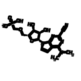 CN(C)c1nc(C#N)nc2c1ccn2[C@@H]1O[C@H](COCP(=O)(O)O)[C@@H](O)[C@H]1O